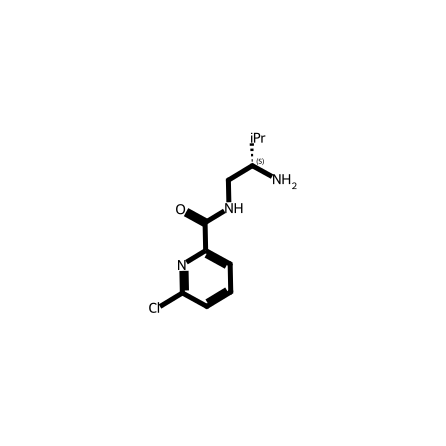 CC(C)[C@H](N)CNC(=O)c1cccc(Cl)n1